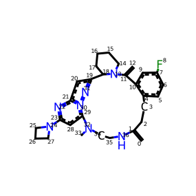 C=C1CCc2ccc(F)cc2C(=C)N2CCCCC2c2cc3nc(N4CCC4)cc(n3n2)N(C)CCN1